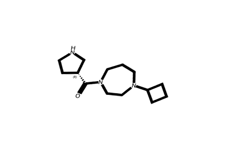 O=C([C@@H]1CCNC1)N1CCCN(C2CCC2)CC1